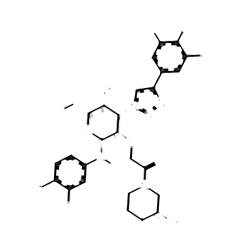 O=C(CO[C@@H]1[C@@H](n2cc(-c3cc(F)c(F)c(F)c3)nn2)[C@@H](O)[C@@H](CO)O[C@@H]1[S+]([O-])c1ccc(Cl)c(Cl)c1)N1CCC[C@H](O)C1